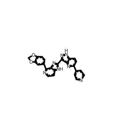 c1cc(-c2ccc3[nH]nc(-c4nc5c(-c6ccc7c(c6)OCO7)nccc5[nH]4)c3n2)ccn1